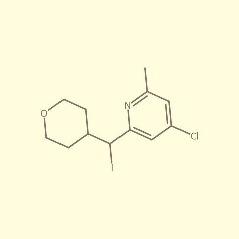 Cc1cc(Cl)cc(C(I)C2CCOCC2)n1